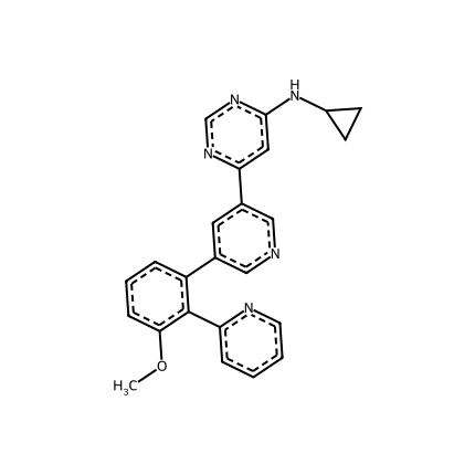 COc1cccc(-c2cncc(-c3cc(NC4CC4)ncn3)c2)c1-c1ccccn1